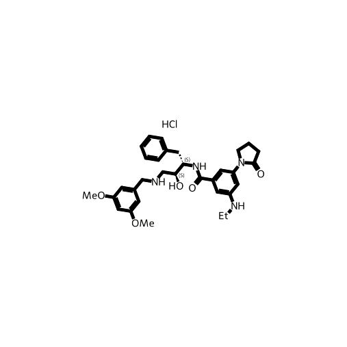 CCNc1cc(C(=O)N[C@@H](Cc2ccccc2)[C@@H](O)CNCc2cc(OC)cc(OC)c2)cc(N2CCCC2=O)c1.Cl